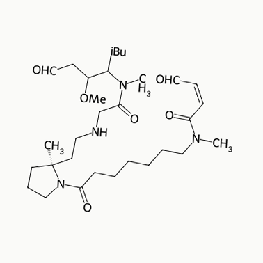 CCC(C)C(C(CC=O)OC)N(C)C(=O)CNCC[C@]1(C)CCCN1C(=O)CCCCCCN(C)C(=O)/C=C\C=O